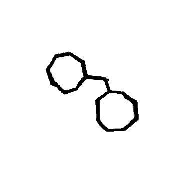 [CH](C1CCCCCCC1)C1CCCCCCC1